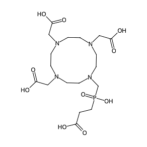 O=C(O)CCP(=O)(O)CN1CCN(CC(=O)O)CCN(CC(=O)O)CCN(CC(=O)O)CC1